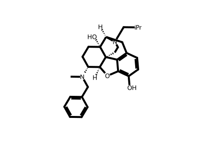 CC(C)CN1CC[C@]23c4c5ccc(O)c4O[C@H]2[C@H](N(C)Cc2ccccc2)CC[C@@]3(O)[C@H]1C5